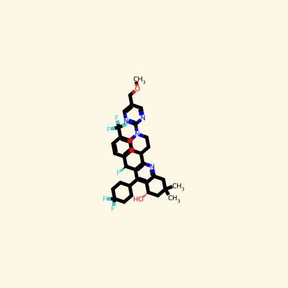 COCc1cnc(N2CCC(c3nc4c(c(C5CCC(F)(F)CC5)c3[C@@H](F)c3ccc(C(F)(F)F)cc3)[C@@H](O)CC(C)(C)C4)CC2)nc1